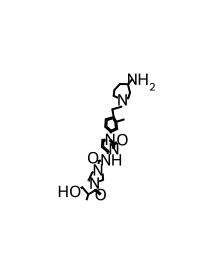 Cc1cc(-n2ccc(NC(=O)N3CCN(C(=O)C(C)CO)CC3)nc2=O)ccc1CCN1CCCC(N)CC1